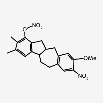 COc1cc2c(cc1[N+](=O)[O-])CCC1c3cc(C)c(C)c(O[N+](=O)[O-])c3CC1C2